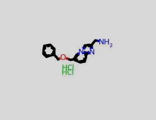 Cl.Cl.NCc1cn2cc(COCc3ccccc3)ccc2n1